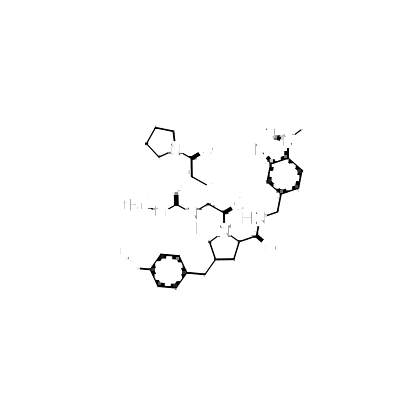 Cn1nnc2cc(CNC(=O)C3CC(Cc4ccc(OC(F)(F)F)cc4)CN3C(=O)[C@@H](CCC(=O)N3CCCC3)NC(=O)OC(C)(C)C)ccc21